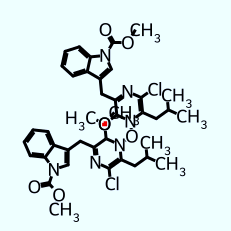 COC(=O)n1cc(CC2=NC(Cl)=C(CC(C)C)N(ON3C(CC(C)C)=C(Cl)N=C(Cc4cn(C(=O)OC)c5ccccc45)C3OC)C2OC)c2ccccc21